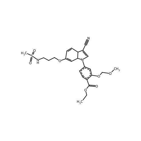 CCOC(=O)c1ccc(N2C=C(C#N)C3C=CC(OCCCNS(C)(=O)=O)=CC32)cc1OCOC